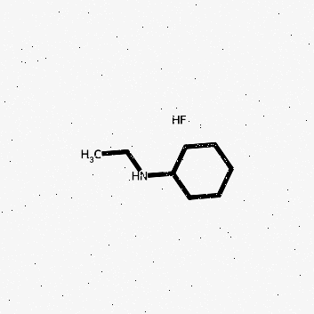 CCNC1CCCCC1.F